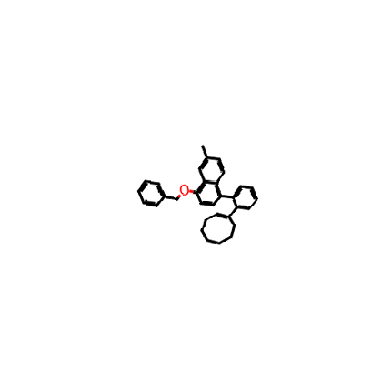 Cc1ccc2c(-c3ccccc3/C3=C/CCCCCC3)ccc(OCc3ccccc3)c2c1